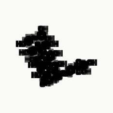 C[C@]12CC[C@@H]3c4ccc(O)cc4CC[C@H]3[C@@H]1CCC2=O.C[C@]12CC[C@@H]3c4ccc(O)cc4CC[C@H]3[C@@H]1CC[C@@H]2O.C[C@]12CC[C@@H]3c4ccc(O)cc4CC[C@H]3[C@@H]1C[C@@H](O)[C@@H]2O.O=c1c(-c2ccc(O)cc2)coc2cc(O)cc(O)c12.O=c1c(-c2ccc(O)cc2)coc2cc(O)ccc12.Oc1ccc(/C=C/c2cc(O)cc(O)c2)cc1